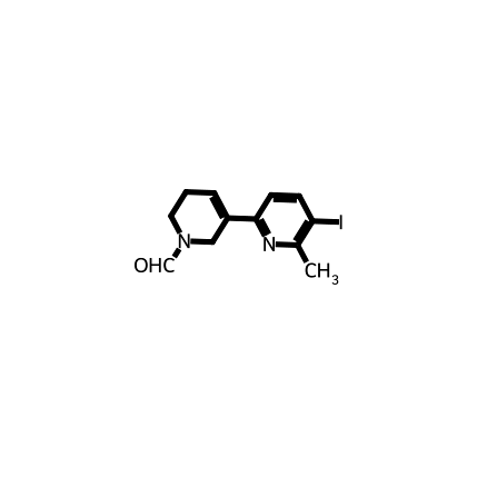 Cc1nc(C2=CCCN(C=O)C2)ccc1I